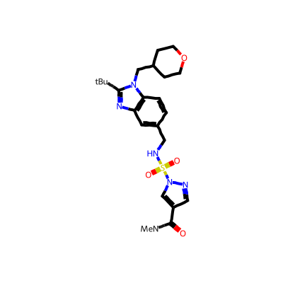 CNC(=O)c1cnn(S(=O)(=O)NCc2ccc3c(c2)nc(C(C)(C)C)n3CC2CCOCC2)c1